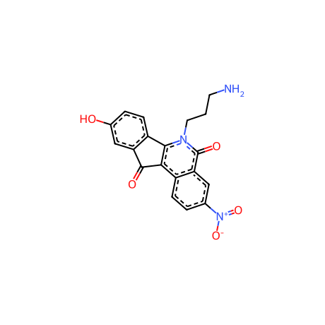 NCCCn1c2c(c3ccc([N+](=O)[O-])cc3c1=O)C(=O)c1cc(O)ccc1-2